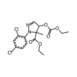 CCOC(=O)OC1C=NN(c2ccc(Cl)cc2Cl)C1(C)C(=O)OCC